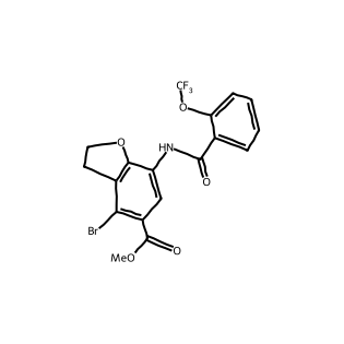 COC(=O)c1cc(NC(=O)c2ccccc2OC(F)(F)F)c2c(c1Br)CCO2